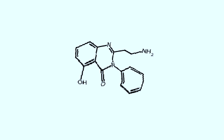 NCCc1nc2cccc(O)c2c(=O)n1-c1ccccc1